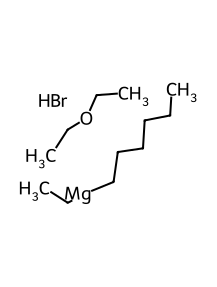 Br.CCCCC[CH2][Mg][CH2]C.CCOCC